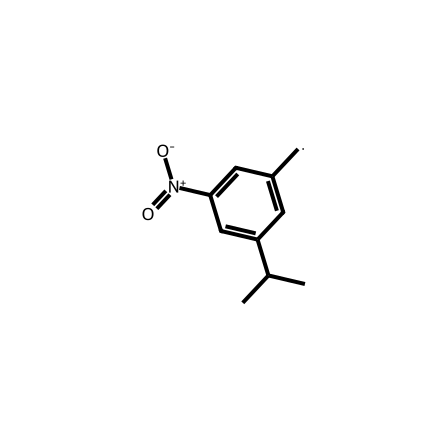 [CH2]c1cc(C(C)C)cc([N+](=O)[O-])c1